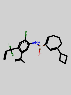 C=CC(F)(F)c1cc(F)c(N[S+]([O-])C2=CCCCC(C3CCC3)=C2)cc1C(=C)C